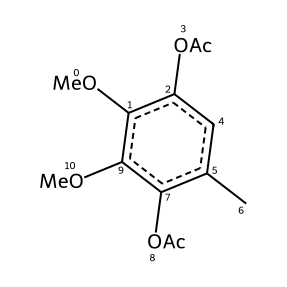 COc1c(OC(C)=O)cc(C)c(OC(C)=O)c1OC